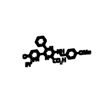 COc1ccc(CNc2nc(-c3ccccc3)c(-c3ccc(=O)n(C(C)C)n3)nc2C(=O)O)cc1